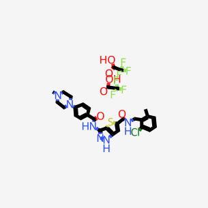 Cc1cccc(Cl)c1CNC(=O)c1cc2[nH]nc(NC(=O)c3ccc(N4CCN(C)CC4)cc3)c2s1.O=C(O)C(F)(F)F.O=C(O)C(F)(F)F